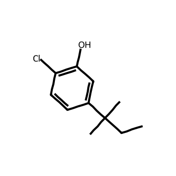 CCC(C)(C)c1ccc(Cl)c(O)c1